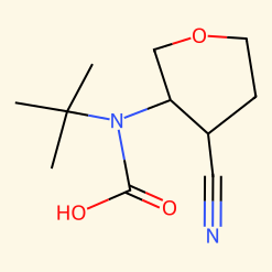 CC(C)(C)N(C(=O)O)C1COCCC1C#N